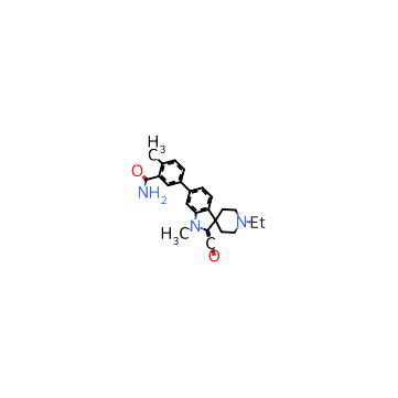 CCN1CCC2(CC1)C(=C=O)N(C)c1cc(-c3ccc(C)c(C(N)=O)c3)ccc12